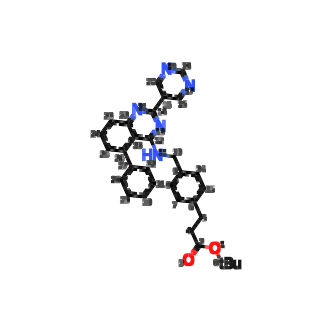 CC(C)(C)OC(=O)CCc1ccc(CNc2nc(-c3cncnc3)nc3cccc(-c4ccccc4)c23)cc1